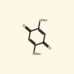 CCCCCCC1=CC(=O)C(CCCCCC)=CC1=O